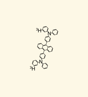 [3H]c1cccc(N(c2ccccc2)c2ccc(-c3c4ccccc4c(-c4ccc(N(c5ccccc5)c5cccc([3H])c5)cc4)c4ccccc34)cc2)c1